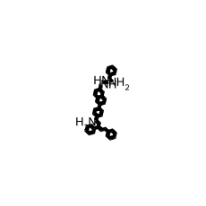 N/C(=C\C(=C/Cc1ccccc1)c1ccccc1)c1ccc(-c2ccc3cc(CNNC(N)c4ccccc4)ccc3c2)cc1